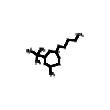 BC(B)(C)C1CC(C)CCC(CCCCC)C1